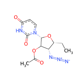 CC[C@H]1O[C@@H](n2ccc(=O)[nH]c2=O)C(OC(C)=O)[C@H]1N=[N+]=[N-]